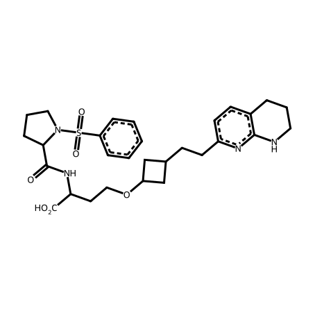 O=C(O)C(CCOC1CC(CCc2ccc3c(n2)NCCC3)C1)NC(=O)C1CCCN1S(=O)(=O)c1ccccc1